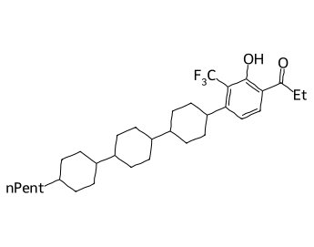 CCCCCC1CCC(C2CCC(C3CCC(c4ccc(C(=O)CC)c(O)c4C(F)(F)F)CC3)CC2)CC1